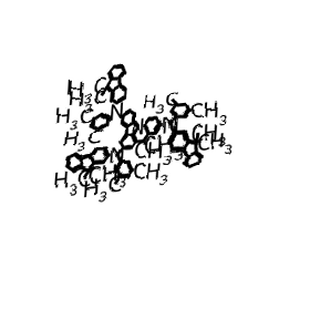 Cc1cc(C)cc(N(c2ccc3c(c2)C(C)(C)c2ccccc2-3)c2ccc3c(c2)C(C)(C)c2cc(N(c4cc(C)cc(C)c4)c4ccc5c(c4)C(C)(C)c4ccccc4-5)cc4c5cc(N(c6cc(C)cc(C)c6)c6ccc7c(c6)C(C)(C)c6ccccc6-7)ccc5n-3c24)c1